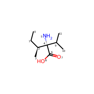 CC[C@H](C)[C@](N)(C(=O)O)C(C)C